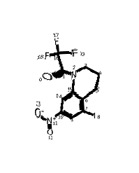 O=C(N1CCCc2c(I)cc([N+](=O)[O-])cc21)C(F)(F)F